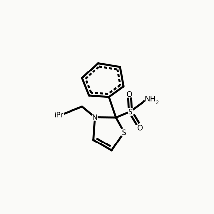 CC(C)CN1C=CSC1(c1ccccc1)S(N)(=O)=O